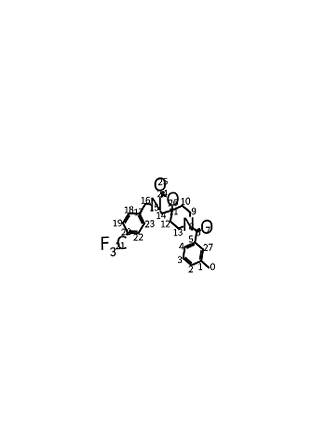 Cc1cccc(C(=O)N2CCC3(CC2)CN(Cc2ccc(C(F)(F)F)cc2)C(=O)O3)c1